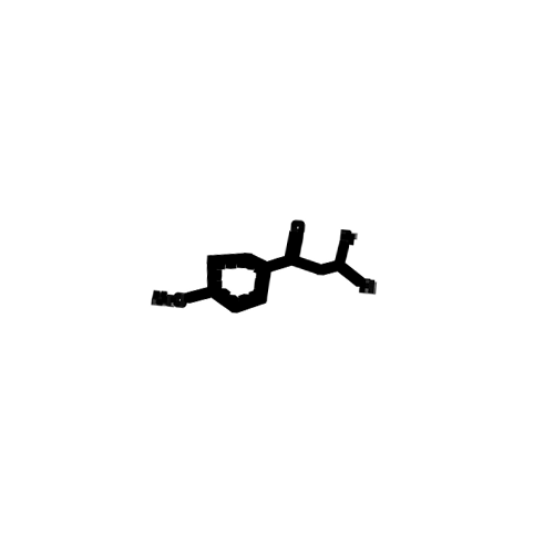 CCC(Br)CC(=O)c1ccc(OC)cc1